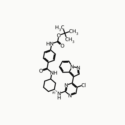 CC(C)(C)OC(=O)Nc1ccc(C(=O)NC2CCC[C@@H](Nc3ncc(Cl)c(-c4cnn5ccccc45)n3)C2)cc1